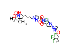 CC1(C)CC(CCCCn2ccc(S(=O)(=O)NC(=O)c3ccc(-n4ccc(OCCC5(C(F)(F)F)CC5)n4)nc3Cl)n2)CN1C(=O)O